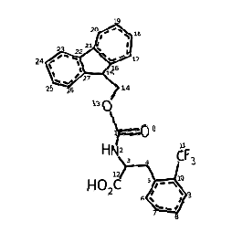 O=C(NC(Cc1ccccc1C(F)(F)F)C(=O)O)OCC1c2ccccc2-c2ccccc21